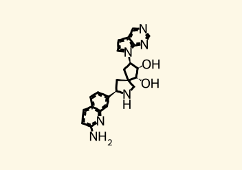 Nc1ccc2ccc([C@H]3C[C@@]4(CN3)C[C@@H](n3ccc5cncnc53)[C@H](O)[C@@H]4O)cc2n1